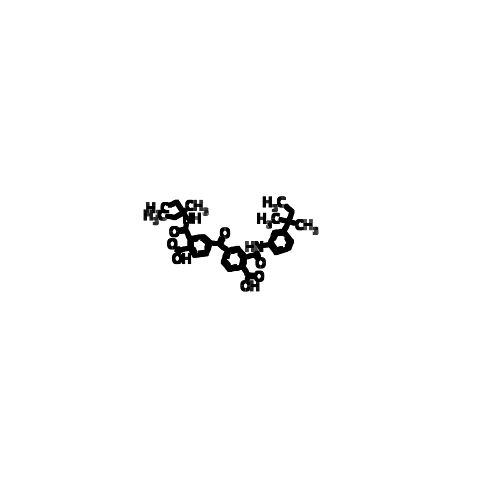 CCC(C)(CC)NC(=O)c1cc(C(=O)c2ccc(C(=O)O)c(C(=O)Nc3cccc(C(C)(C)CC)c3)c2)ccc1C(=O)O